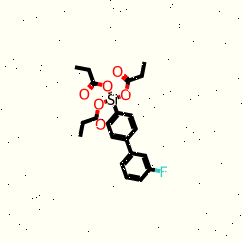 CCC(=O)O[Si](OC(=O)CC)(OC(=O)CC)c1ccc(-c2cccc(F)c2)cc1